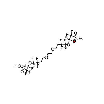 O=S(=O)(O)C(F)(F)C(F)(F)OC(F)(F)C(F)(F)CCOCCOCCC(F)(F)C(F)(F)OC(F)(F)C(F)(F)S(=O)(=O)O